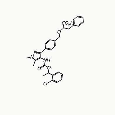 Cc1c(NC(=O)OC(C)c2ccccc2Cl)c(-c2ccc(COC(Cc3ccccc3)C(=O)O)cc2)nn1C